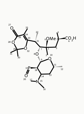 CO[C@](C)(C[C@@H](C)C(=O)O)[C@H](O[C@@H]1O[C@H](C)CC(N(C)C)[C@H]1P=O)[C@@H](C)C1=C(C)C(=O)OC(C)(C)O1